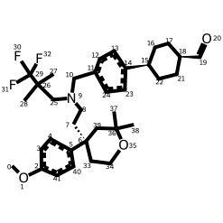 COc1ccc([C@]2(CCN(Cc3ccc([C@H]4CC[C@@H](C=O)CC4)cc3)CC(C)(C)C(F)(F)F)CCOC(C)(C)C2)cc1